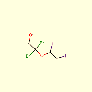 [O]CC(Br)(Br)OC(I)CI